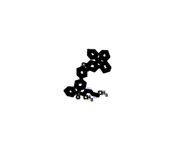 C=C(/C=C\C=C/C)P(=O)(c1ccccc1)c1ccc(-c2ccc3oc4cc5c(cc4c3c2)-c2ccccc2C5(c2ccccc2)c2ccccc2)cc1